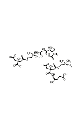 CC(=O)O.CC(=O)O.C[N+](C)(C)CCOC(=O)CC(O)(CC(=O)O)C(=O)O.C[N+](C)(C)CCOC(=O)CC(O)(CC(=O)[O-])C(=O)[O-].O=C(O)CCC(=O)O.O=C(O)[C@@H]1CCCN1